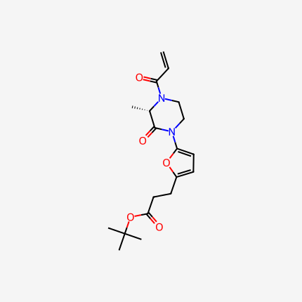 C=CC(=O)N1CCN(c2ccc(CCC(=O)OC(C)(C)C)o2)C(=O)[C@@H]1C